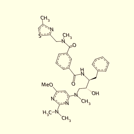 COc1cc(N(C)C[C@@H](O)[C@H](Cc2ccccc2)NC(=O)c2cccc(C(=O)N(C)Cc3nc(C)cs3)c2)nc(N(C)C)n1